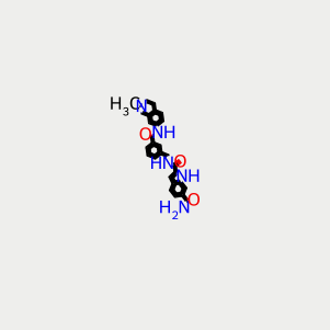 CN1CCc2ccc(NC(=O)c3cccc(CNC(=O)c4cc5ccc(C(N)=O)cc5[nH]4)c3)cc2C1